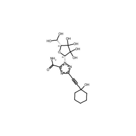 NC(=O)c1nc(C#CC2(O)CCCCC2)nn1[C@@H]1O[C@H](C(O)O)C(O)(O)C1(O)O